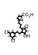 O=C(O)c1ccc(CCCC2C(Cl)CC(O)C2CCc2cc(Cl)cc(Cl)c2)s1